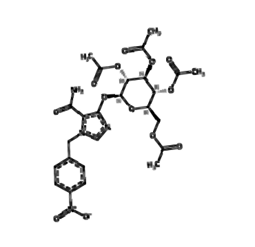 CC(=O)OC[C@H]1O[C@@H](Oc2ncn(Cc3ccc([N+](=O)[O-])cc3)c2C(N)=O)[C@H](OC(C)=O)[C@@H](OC(C)=O)[C@@H]1OC(C)=O